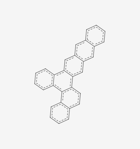 c1ccc2cc3cc4c(cc3cc2c1)c1ccccc1c1c2ccccc2ccc41